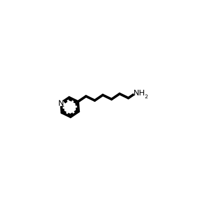 NCCCCCCc1cccnc1